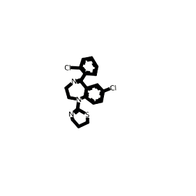 Clc1ccc2c(c1)C(c1ccccc1Cl)=NCCN2C1=NCCCS1